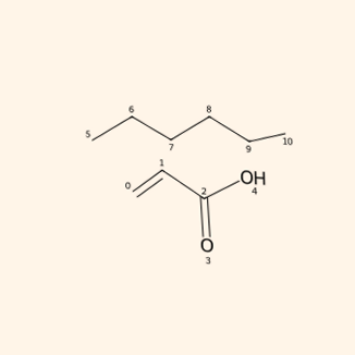 C=CC(=O)O.CCCCCC